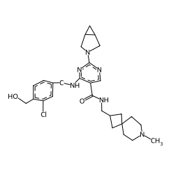 CN1CCC2(CC1)CC(CNC(=O)c1cnc(N3CC4CC4C3)nc1NCc1ccc(CO)c(Cl)c1)C2